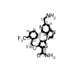 C[C@@H](Oc1cc(-n2cnc3cc(CN)ncc32)sc1C(N)=O)c1ccccc1C(F)(F)F